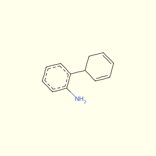 Nc1ccccc1C1C=CC=CC1